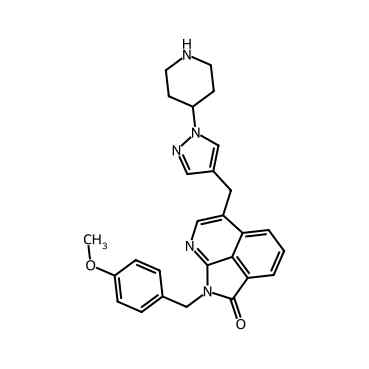 COc1ccc(CN2C(=O)c3cccc4c(Cc5cnn(C6CCNCC6)c5)cnc2c34)cc1